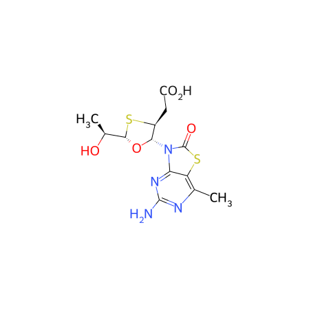 Cc1nc(N)nc2c1sc(=O)n2[C@@H]1O[C@H]([C@H](C)O)S[C@H]1CC(=O)O